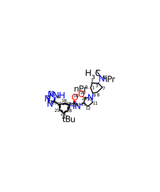 CCC[C@@H]1C[C@H](N(C)C(C)C)CC[C@@H]1N1CCC(NC(=O)c2cc(-c3nnn[nH]3)cc(C(C)(C)C)c2)C1=O